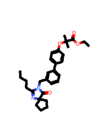 CCCCC1=NC2(CCCC2)C(=O)N1Cc1cccc(-c2ccc(OC(C)(C)C(=O)OCC)cc2)c1